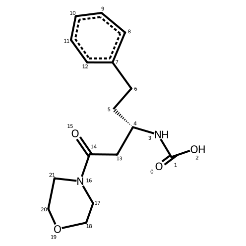 O=C(O)N[C@@H](CCc1ccccc1)CC(=O)N1CCOCC1